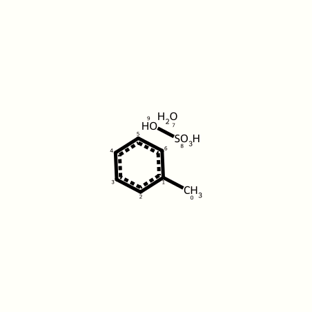 Cc1ccccc1.O.O=S(=O)(O)O